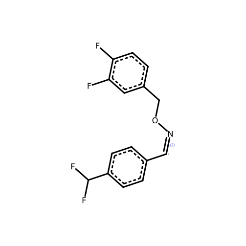 Fc1ccc(CO/N=[C]\c2ccc(C(F)F)cc2)cc1F